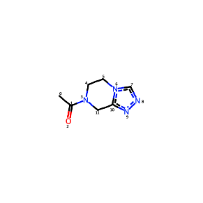 CC(=O)N1CCn2cnnc2C1